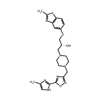 Cc1c[nH]c(-c2nc(CN3CCN(C[C@@H](O)COc4ccc5sc(C)nc5c4)CC3)no2)n1